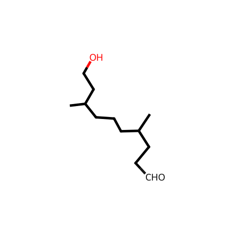 CC(CCO)CCCC(C)CCC=O